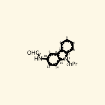 CCCn1c2ccccc2c2cc(NC=O)ccc21